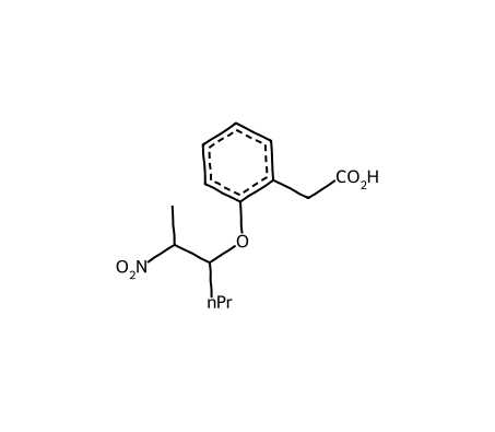 CCCC(Oc1ccccc1CC(=O)O)C(C)[N+](=O)[O-]